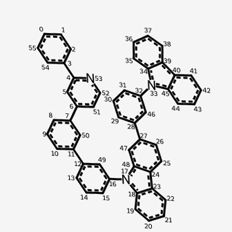 c1ccc(-c2cc(-c3cccc(-c4cccc(-n5c6ccccc6c6ccc(-c7cccc(-n8c9ccccc9c9ccccc98)c7)cc65)c4)c3)ccn2)cc1